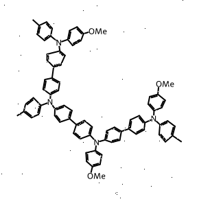 COc1ccc(N(c2ccc(C)cc2)c2ccc(-c3ccc(N(c4ccc(C)cc4)c4ccc(-c5ccc(N(c6ccc(OC)cc6)c6ccc(-c7ccc(N(c8ccc(C)cc8)c8ccc(OC)cc8)cc7)cc6)cc5)cc4)cc3)cc2)cc1